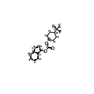 O=C(Oc1nsc2ncccc12)ON1CCC(C(F)(F)F)CC1